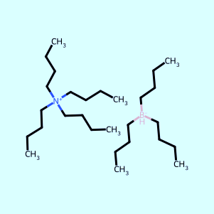 CCCC[BH-](CCCC)CCCC.CCCC[N+](CCCC)(CCCC)CCCC